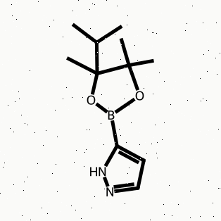 CC(C)C1(C)OB(c2ccn[nH]2)OC1(C)C